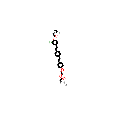 C=CC(=O)OCCOc1ccc(/C=C/c2ccc(/C=C/c3ccc(OC(=O)C=C)c(F)c3)cc2)cc1